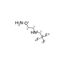 NOCCNCC(F)(F)F